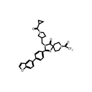 O=C(C1CC1)N1CCC(CN2C(=O)C3(CCN(C(=O)C(F)(F)F)CC3)N=C2c2ccc(-c3ccc4occc4c3)cc2)C1